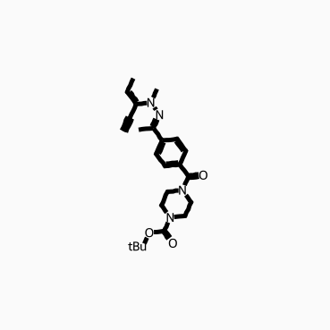 C#C/C(=C/C)N(C)/N=C(\C)c1ccc(C(=O)N2CCN(C(=O)OC(C)(C)C)CC2)cc1